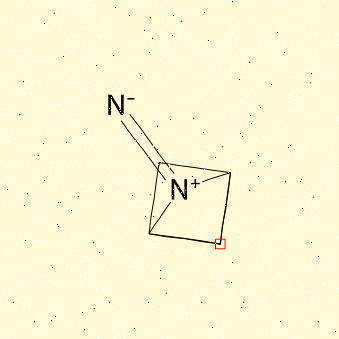 [N-]=[N+]1C23CC1(C2)C3